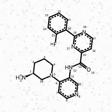 N[C@H]1CCCN(c2ccncc2NC(=O)c2ccnc(-c3ccccc3F)n2)C1